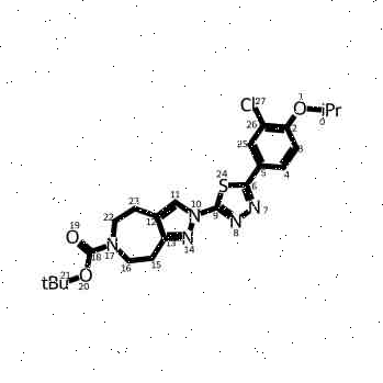 CC(C)Oc1ccc(-c2nnc(-n3cc4c(n3)CCN(C(=O)OC(C)(C)C)CC4)s2)cc1Cl